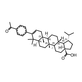 CC(=O)c1ccc(C2=CC[C@]3(C)[C@H]4CC[C@@H]5[C@H]6[C@H](C(C)C)CC[C@]6(C(=O)O)CC[C@@]5(C)[C@]4(C)CC[C@H]3C2(C)C)cc1